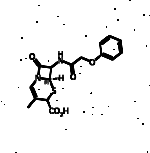 CC1=CN2C(=O)C(NC(=O)COc3ccccc3)[C@H]2SC1C(=O)O